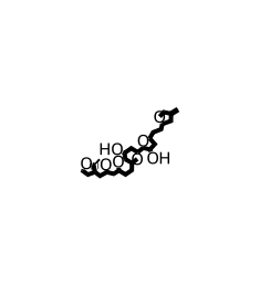 C=C1COC(CCC2CC(O)C(C3CC(O)C4OC(CC(=O)CC5CCO[C@H]5C)CCC4O3)O2)C1